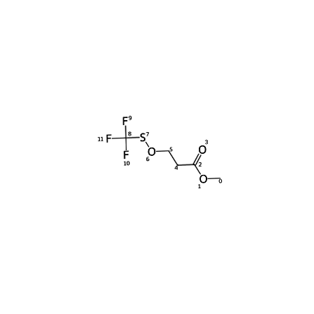 COC(=O)CCOSC(F)(F)F